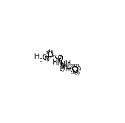 COc1cccc(/C=C/C(=O)NNC(=O)C=Cc2ccccc2)c1